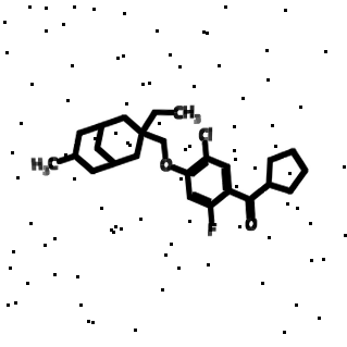 CCC1(COc2cc(F)c(C(=O)C3CCCC3)cc2Cl)CC2CC(C)CC(C2)C1